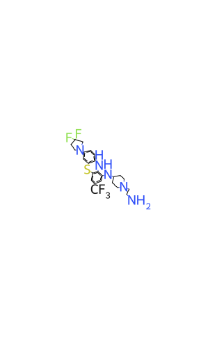 NCCN1CCC(Nc2cc(C(F)(F)F)cc3c2Nc2ccc(N4CCC(F)(F)C4)cc2S3)CC1